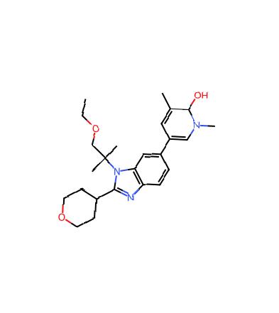 CCOCC(C)(C)n1c(C2CCOCC2)nc2ccc(C3=CN(C)C(O)C(C)=C3)cc21